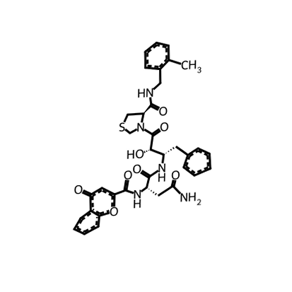 Cc1ccccc1CNC(=O)[C@@H]1CSCN1C(=O)[C@@H](O)[C@H](Cc1ccccc1)NC(=O)[C@H](CC(N)=O)NC(=O)c1cc(=O)c2ccccc2o1